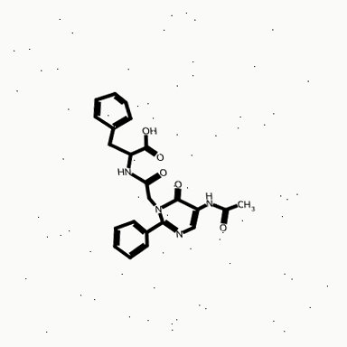 CC(=O)Nc1cnc(-c2ccccc2)n(CC(=O)NC(Cc2ccccc2)C(=O)O)c1=O